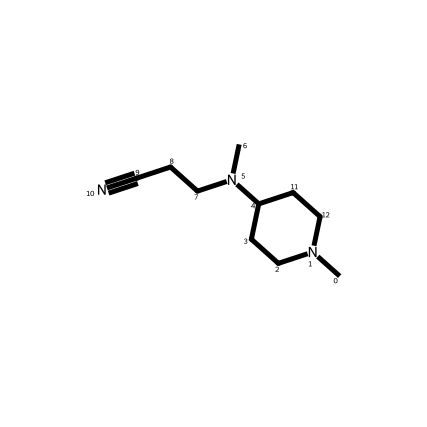 CN1CCC(N(C)CCC#N)CC1